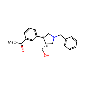 COC(=O)c1cccc([C@H]2CN(Cc3ccccc3)C[C@@H]2CO)c1